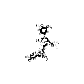 CCN(CC(COC(C)C)OCCOCC[N+](C)(C)CCCS(=O)(=O)O)c1ccc(C)c(C)c1